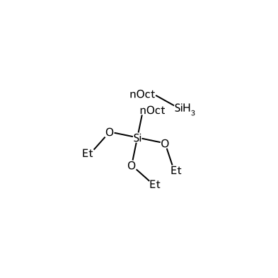 CCCCCCCC[SiH3].CCCCCCCC[Si](OCC)(OCC)OCC